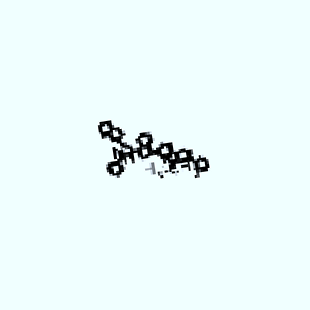 CC1(C)c2cc(-c3ccccc3)ccc2-c2ccc(-c3ccc(-c4cc(-c5ccc6ccccc6c5)nc(-c5ccccc5)n4)c4ccccc34)cc21